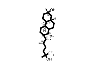 CC[C@H]1C2CC[C@H]3C[C@@](C)(O)CC[C@]3(C)[C@H]2CC[C@]1(C)[C@H](C)[C@H](C)CCC(C)(O)C(F)(F)F